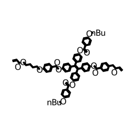 C=CC(=O)Cc1ccc(C(=O)Oc2ccc(/C(=C(\c3ccc(OC(=O)c4ccc(OCCCC)cc4)cc3)c3ccc(OC(=O)c4ccc(OCCCCOC(=O)C=C)cc4)cc3)c3ccc(OC(=O)c4ccc(OCCCC)cc4)cc3)cc2)cc1